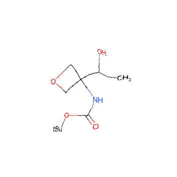 CC(O)C1(NC(=O)OC(C)(C)C)COC1